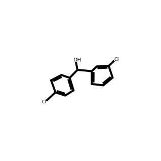 OC(c1ccc(Cl)cc1)c1cccc(Cl)c1